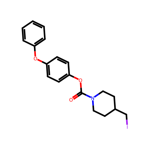 O=C(Oc1ccc(Oc2ccccc2)cc1)N1CCC(CI)CC1